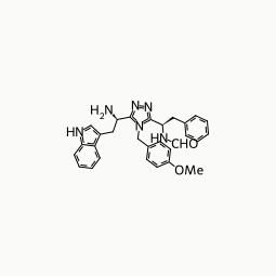 COc1ccc(Cn2c([C@H](N)Cc3c[nH]c4ccccc34)nnc2[C@@H](Cc2ccccc2)NC=O)cc1